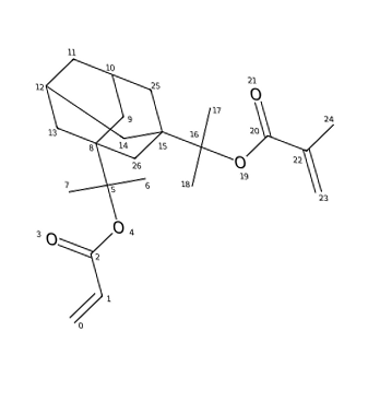 C=CC(=O)OC(C)(C)C12CC3CC(C1)CC(C(C)(C)OC(=O)C(=C)C)(C3)C2